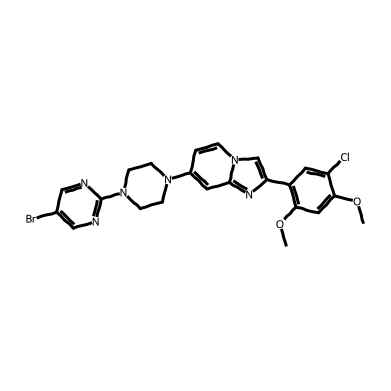 COc1cc(OC)c(-c2cn3ccc(N4CCN(c5ncc(Br)cn5)CC4)cc3n2)cc1Cl